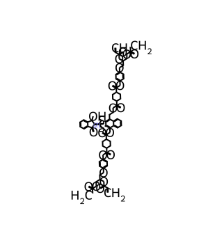 C=CC(=O)OCC(COc1ccc(OC(=O)C2CCC(C(=O)OCCc3c4c(c(OC(=O)C5CCC(C(=O)Oc6ccc(OCC(COC(=O)C=C)OC(=O)C=C)cc6)CC5)c5ccccc35)S/C(=C3\C(=O)c5ccccc5C3O)S4)CC2)cc1)OC(=O)C=C